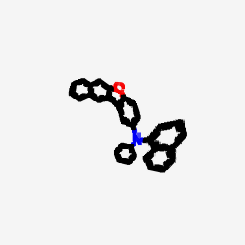 c1ccc(N(c2ccc3oc4cc5ccccc5cc4c3c2)c2cccc3ccccc23)cc1